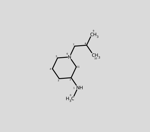 CNC1CCCN(CC(C)C)C1